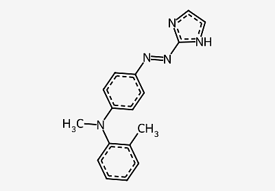 Cc1ccccc1N(C)c1ccc(N=Nc2ncc[nH]2)cc1